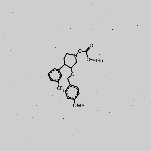 COc1ccc(COC2CN(OC(=O)OC(C)(C)C)CCC2c2cccc(C(F)(F)F)c2)cc1